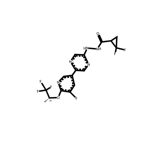 C[C@@H](Oc1ncc(-c2cnc(NNC(=O)C3CC3(F)F)cn2)cc1F)C(F)(F)F